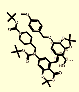 COc1ccc(CO[C@H](/C=C\[C@@H](C)[C@H](C)O)[C@H]2OC(C)(C)O[C@H]2C/C=C/c2cc(N(CC3CCN(C(=O)OC(C)(C)C)CC3)C(=O)OC(C)(C)C)cc3c2C(=O)OC(C)(C)O3)cc1